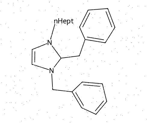 CCCCCCCN1C=CN(Cc2ccccc2)C1Cc1ccccc1